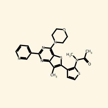 CC(=O)N(C)c1sccc1-c1sc2c(N3CCOCC3)nc(-c3cccnc3)nc2c1C